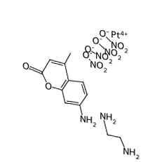 Cc1cc(=O)oc2cc(N)ccc12.NCCN.O=[N+]([O-])[O-].O=[N+]([O-])[O-].O=[N+]([O-])[O-].O=[N+]([O-])[O-].[Pt+4]